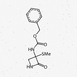 CSC1(NC(=O)OCc2ccccc2)CNC1=O